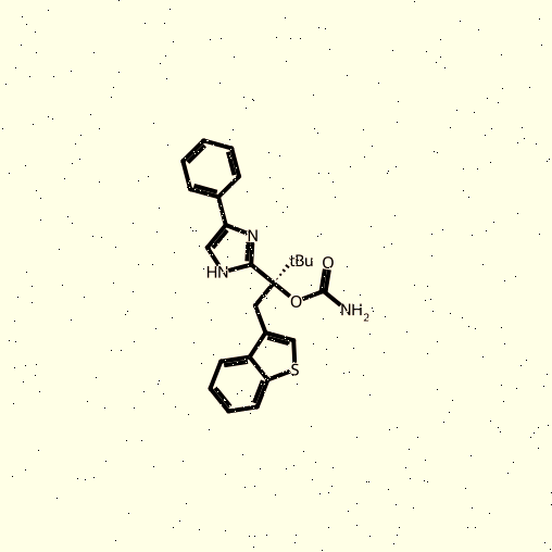 CC(C)(C)[C@@](Cc1csc2ccccc12)(OC(N)=O)c1nc(-c2ccccc2)c[nH]1